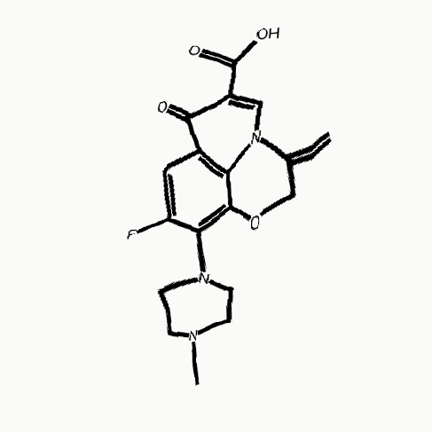 C=C1COc2c(N3CCN(C)CC3)c(F)cc3c(=O)c(C(=O)O)cn1c23